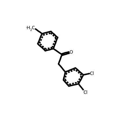 [CH2]c1ccc(C(=O)Cc2ccc(Cl)c(Cl)c2)cc1